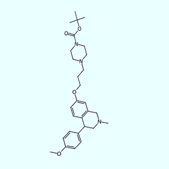 COc1ccc(C2CN(C)Cc3cc(OCCCN4CCN(C(=O)OC(C)(C)C)CC4)ccc32)cc1